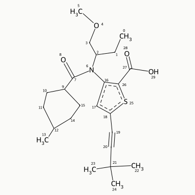 CCC(COC)N(C(=O)C1CCC(C)CC1)c1cc(C#CC(C)(C)C)sc1C(=O)O